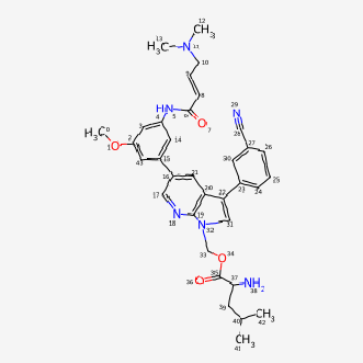 COc1cc(NC(=O)/C=C/CN(C)C)cc(-c2cnc3c(c2)c(-c2cccc(C#N)c2)cn3COC(=O)C(N)CC(C)C)c1